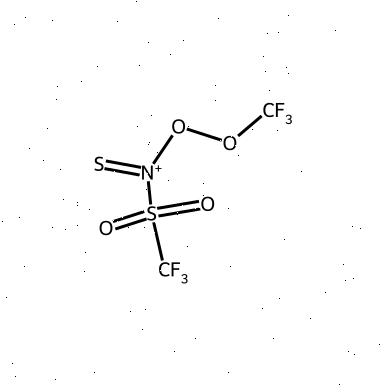 O=S(=O)([N+](=S)OOC(F)(F)F)C(F)(F)F